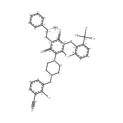 Cc1c(N2CCN(Cc3cccc(C#N)c3F)CC2)c(=O)n(C[C@@H](N)c2ccccc2)c(=O)n1Cc1c(F)cccc1C(F)(F)F